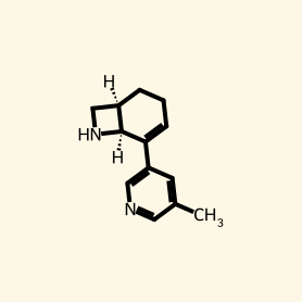 Cc1cncc(C2=CCC[C@@H]3CN[C@H]23)c1